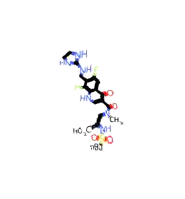 CCCCS(=O)(=O)NC(CN(C)C(=O)c1c[nH]c2c(F)c(CNC3NCCN3)c(F)cc2c1=O)C(=O)O